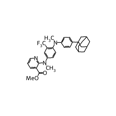 COC(=O)c1cccnc1N(C)c1ccc(N(C)c2ccc(C34CC5CC(CC(C5)C3)C4)cc2)c(C(F)(F)F)c1